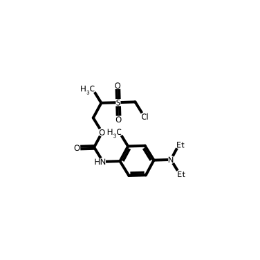 CCN(CC)c1ccc(NC(=O)OCC(C)S(=O)(=O)CCl)c(C)c1